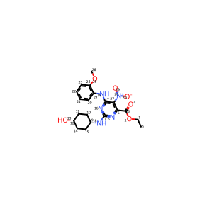 CCOC(=O)c1nc(N[C@H]2CC[C@@H](O)CC2)nc(Nc2ccccc2OC)c1[N+](=O)[O-]